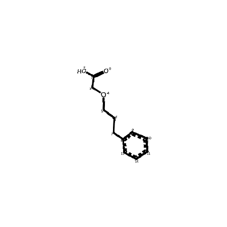 O=C(O)COCCCc1ccccc1